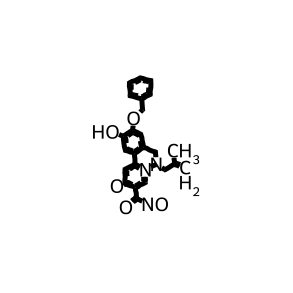 C=C(C)CN1Cc2cc(OCc3ccccc3)c(O)cc2-c2cc(=O)c(C(=O)N=O)cn21